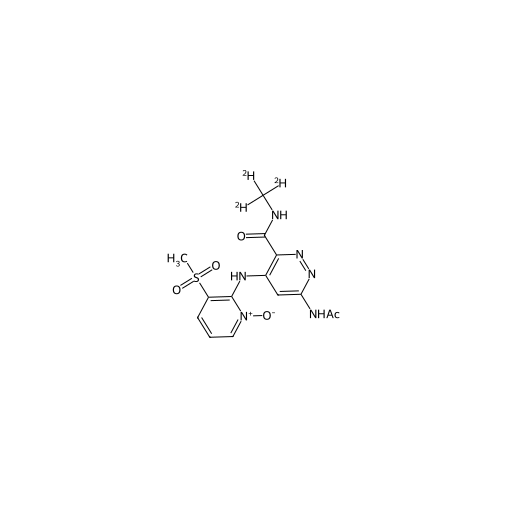 [2H]C([2H])([2H])NC(=O)c1nnc(NC(C)=O)cc1Nc1c(S(C)(=O)=O)ccc[n+]1[O-]